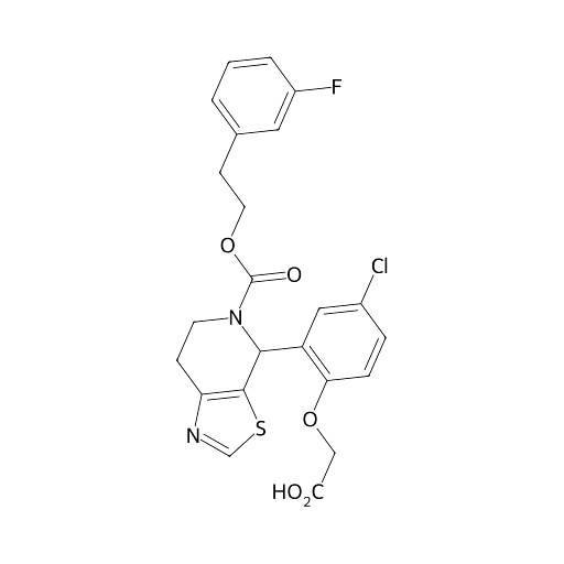 O=C(O)COc1ccc(Cl)cc1C1c2scnc2CCN1C(=O)OCCc1cccc(F)c1